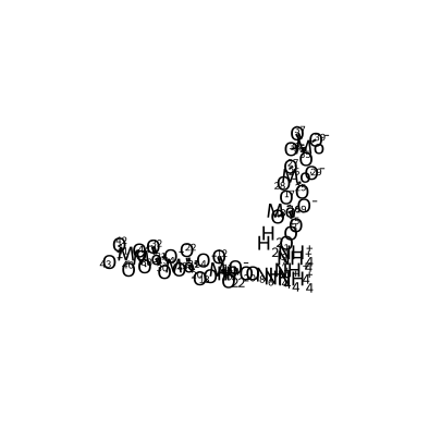 O.O.O.O.[NH4+].[NH4+].[NH4+].[NH4+].[NH4+].[NH4+].[O]=[Mo](=[O])([O-])[O-].[O]=[Mo](=[O])([O-])[O-].[O]=[Mo](=[O])([O-])[O-].[O]=[Mo](=[O])([O-])[O-].[O]=[Mo](=[O])([O-])[O-].[O]=[Mo](=[O])([O-])[O-].[O]=[Mo](=[O])([O-])[O-]